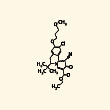 CCOC(=O)c1cn2c(c(C#N)c1=O)-c1cc(Cl)c(OCCCOC)cc1CC2C(C)(C)C